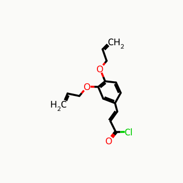 C=CCOc1ccc(C=CC(=O)Cl)cc1OCC=C